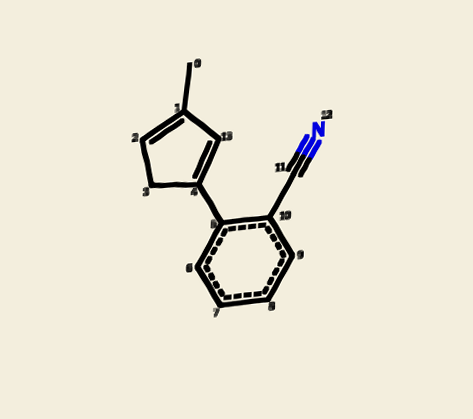 CC1=CCC(c2ccccc2C#N)=C1